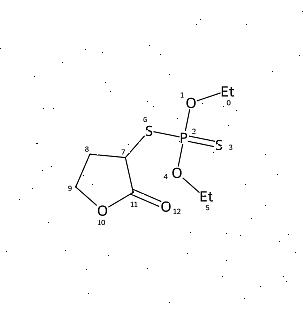 CCOP(=S)(OCC)SC1CCOC1=O